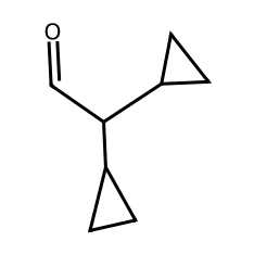 O=CC(C1CC1)C1CC1